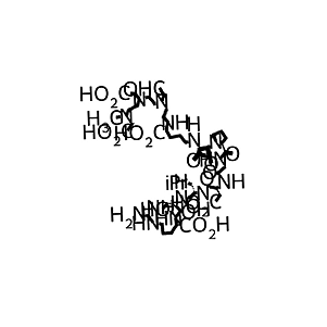 CC(C)C[C@H](NC(=O)[C@H](CC(=O)O)NC(=O)CNC(=O)[C@@H]1CCCN1c1c(NCCCC(NCCN(CC=O)CCN(CCN(C)CC(=O)O)CC(=O)O)C(=O)O)c(=O)c1=O)C(=O)N[C@@H](CO)C(=O)N[C@@H](CCCNC(=N)N)C(=O)O